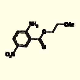 CC(=O)OCCOC(=O)c1cc([N+](=O)[O-])ccc1N